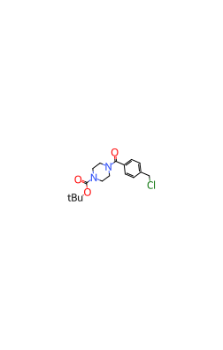 CC(C)(C)OC(=O)N1CCN(C(=O)c2ccc(CCl)cc2)CC1